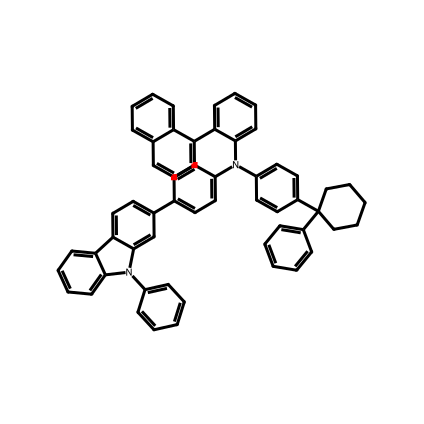 c1ccc(-n2c3ccccc3c3ccc(-c4ccc(N(c5ccc(C6(c7ccccc7)CCCCC6)cc5)c5ccccc5-c5cccc6ccccc56)cc4)cc32)cc1